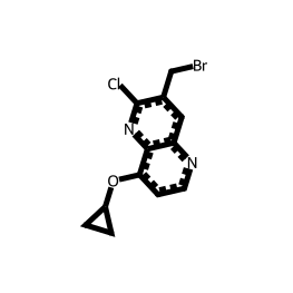 Clc1nc2c(OC3CC3)ccnc2cc1CBr